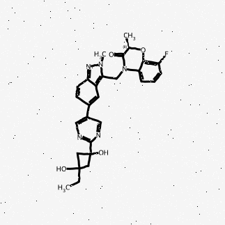 CCC1(O)CC(O)(c2ncc(-c3ccc4nn(C)c(CN5C(=O)[C@@H](C)Oc6c(F)cccc65)c4c3)cn2)C1